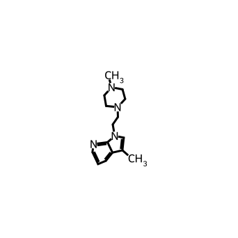 Cc1cn(CCN2CCN(C)CC2)c2ncccc12